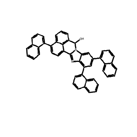 OC1c2cccc3c(-c4cccc5ccccc45)ccc(c23)-c2nc3c(-c4cccc5ccccc45)cc(-c4cccc5ccccc45)cc3n21